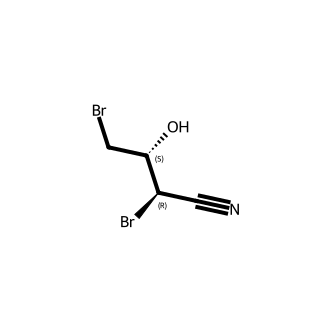 N#C[C@@H](Br)[C@@H](O)CBr